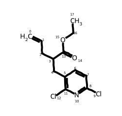 C=CCC(Cc1ccc(Cl)nc1Cl)C(=O)OCC